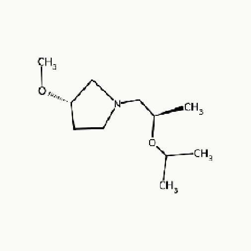 CO[C@H]1CCN(C[C@@H](C)OC(C)C)C1